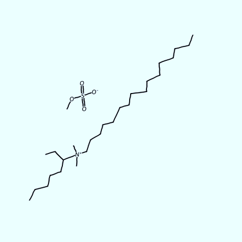 CCCCCCCCCCCCCCCC[N+](C)(C)C(CC)CCCCC.COS(=O)(=O)[O-]